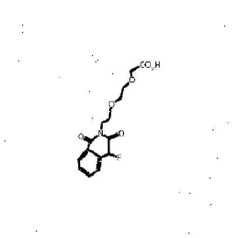 O=C(O)COCCOCCN1C(=O)c2ccccc2C(F)C1=O